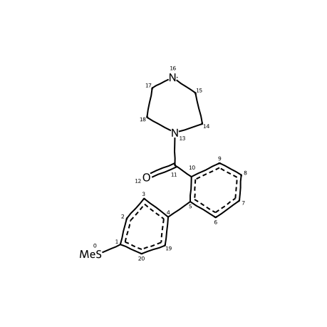 CSc1ccc(-c2ccccc2C(=O)N2CC[N]CC2)cc1